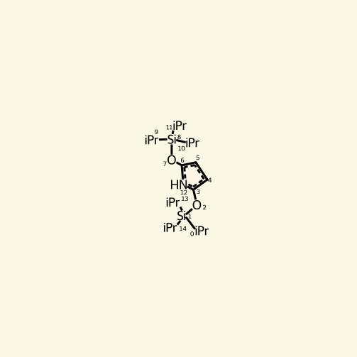 CC(C)[Si](Oc1ccc(O[Si](C(C)C)(C(C)C)C(C)C)[nH]1)(C(C)C)C(C)C